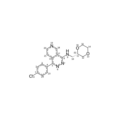 Clc1ccc(-c2nnc(NC[C@H]3COCCO3)c3cnccc23)cc1